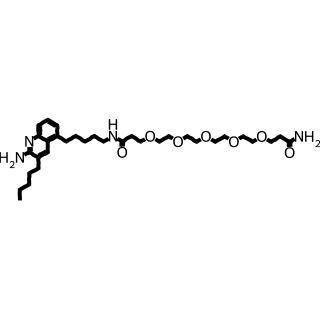 CCCCCc1cc2c(CCCCCNC(=O)CCOCCOCCOCCOCCOCCC(N)=O)cccc2nc1N